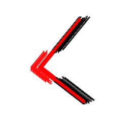 O.O.O.O.O.O.O.O.O.O.O.O.O.O.O.O.O.O.O.O.O.O.O.O.O.O.O.O.O.O.O.O.O.O.O.O.O.O.O.O.O.O.O.O.O.O.O.O.O.O.[Zn+2].[Zn+2].[Zn+2].[Zn+2].[Zn+2].[Zn+2].[Zn+2].[Zn+2].[Zn+2].[Zn+2].[Zn+2].[Zn+2].[Zn+2].[Zn+2].[Zn+2].[Zn+2].[Zn+2].[Zn+2].[Zn+2].[Zn+2].[Zn+2].[Zn+2].[Zn+2].[Zn+2].[Zn+2].[Zn+2].[Zn+2].[Zn+2].[Zn+2].[Zn+2].[Zn+2].[Zn+2].[Zn+2].[Zn+2].[Zn+2].[Zn+2].[Zn+2].[Zn+2].[Zn+2].[Zn+2].[Zn+2].[Zn+2].[Zn+2].[Zn+2].[Zn+2].[Zn+2].[Zn+2].[Zn+2].[Zn+2].[Zn+2].[Zn+2].[Zn+2].[Zn+2].[Zn+2].[Zn+2].[Zn+2].[Zn+2].[Zn+2].[Zn+2].[Zn+2].[Zn+2].[Zn+2].[Zn+2].[Zn+2].[Zn+2].[Zn+2].[Zn+2].[Zn+2].[Zn+2].[Zn+2].[Zn+2].[Zn+2].[Zn+2].[Zn+2].[Zn+2].[Zn+2].[Zn+2].[Zn+2].[Zn+2].[Zn+2].[Zn+2].[Zn+2].[Zn+2].[Zn+2].[Zn+2].[Zn+2].[Zn+2].[Zn+2].[Zn+2].[Zn+2].[Zn+2].[Zn+2].[Zn+2].[Zn+2].[Zn+2].[Zn+2].[Zn+2].[Zn+2].[Zn+2].[Zn+2]